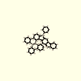 c1ccc(-n2c3cc4c(cc3c3c5c(ccc32)-c2ccccc2N2B5c3ccccc3-c3ccccc32)sc2ccccc24)cc1